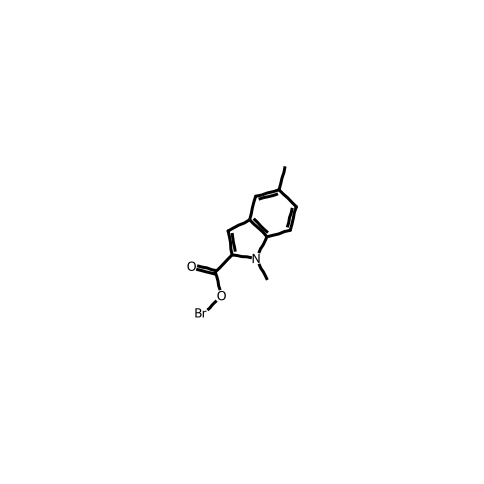 Cc1ccc2c(c1)cc(C(=O)OBr)n2C